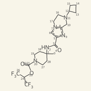 CC1(NC(=O)c2cn3c(n2)CN(C2CCC2)CC3)CCN(C(=O)OC(C(F)(F)F)C(F)(F)F)CC1